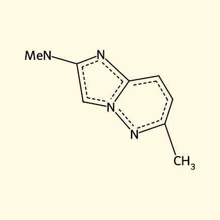 CNc1cn2nc(C)ccc2n1